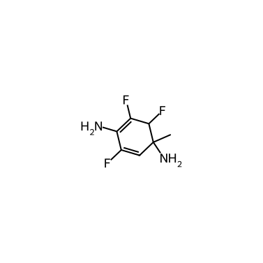 CC1(N)C=C(F)C(N)=C(F)C1F